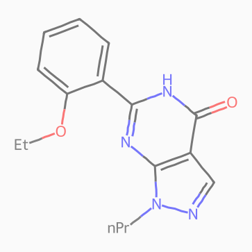 CCCn1ncc2c(=O)[nH]c(-c3ccccc3OCC)nc21